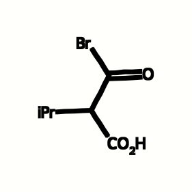 CC(C)C(C(=O)O)C(=O)Br